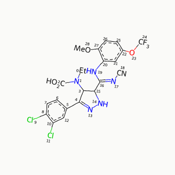 CCN(C(=O)O)C1C(c2ccc(Cl)c(Cl)c2)=NNC1C(=NC#N)Nc1cc(OC(F)(F)F)ccc1OC